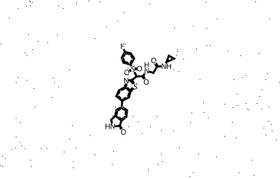 O=C(CNC(=O)C(c1nc2ccc(-c3ccc4c(c3)CNC4=O)cc2s1)S(=O)(=O)c1ccc(F)cc1)NC1CC1